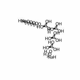 O.O.O.O.O.O.O.OB(O)O.OB(O)O.OB(O)O.OB(O)O.[NaH].[NaH]